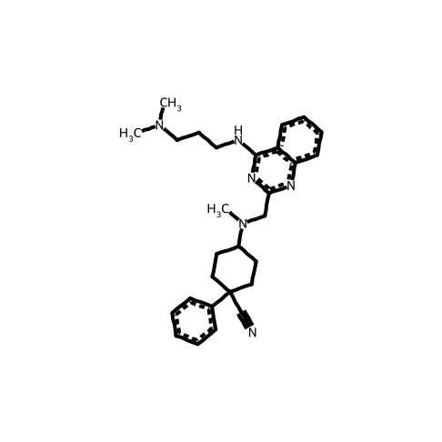 CN(C)CCCNc1nc(CN(C)C2CCC(C#N)(c3ccccc3)CC2)nc2ccccc12